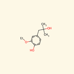 CCOc1cc(CC(C)(C)O)ccc1O